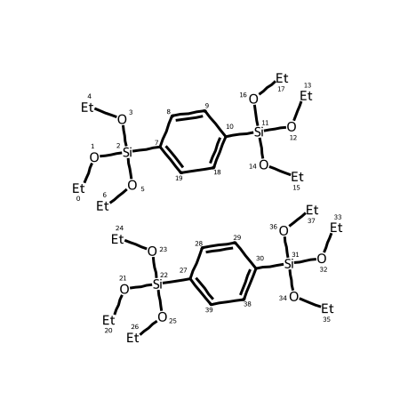 CCO[Si](OCC)(OCC)c1ccc([Si](OCC)(OCC)OCC)cc1.CCO[Si](OCC)(OCC)c1ccc([Si](OCC)(OCC)OCC)cc1